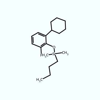 CCCC[Si](C)(C)Oc1c(F)cccc1C1CCCCC1